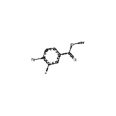 CCc1ccc(C(=O)OC(C)C)cc1F